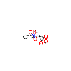 COc1cc([C@H](CC2CC2)C(=O)N(C)[C@@H](C)[C@@H](O)c2ccccc2)cc(OC)c1OC